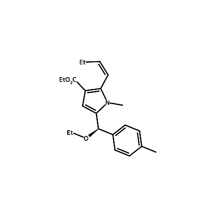 CC/C=C\c1c(C(=O)OCC)cc([C@H](OCC)c2ccc(C)cc2)n1C